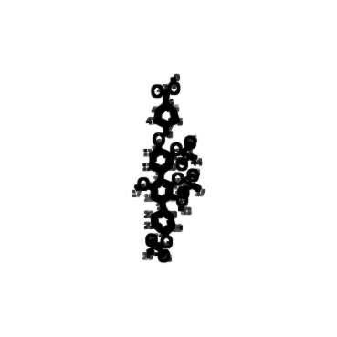 COC(=O)c1ccc(COc2ccc(-c3c(OC)cc(-c4ccc(OS(C)(=O)=O)cc4)c(OC)c3OS(C)(=O)=O)cc2OS(C)(=O)=O)cc1